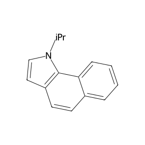 CC(C)n1ccc2ccc3ccccc3c21